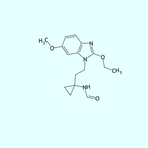 CCOc1nc2ccc(OC)cc2n1CCC1(NC=O)CC1